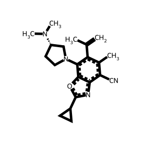 C=C(C)c1c(C)c(C#N)c2nc(C3CC3)oc2c1N1CC[C@H](N(C)C)C1